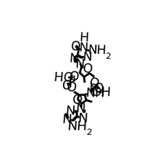 CC1C2COP(=O)(O)NC3C(COP(=O)(O)OC1C(n1cnc4c(=O)[nH]c(N)nc41)O2)OC(n1cnc2c(N)ncnc21)C3C